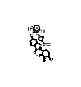 CCOC1CN([C@H]2[C@@H]3CC[C@@H](C3)[C@@H]2Oc2ccc3c(c2)CN(C2CCC(=O)NC2=O)C3=O)C1